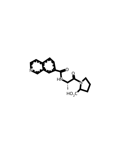 C[C@H](NC(=O)c1ccc2ccncc2c1)C(=O)N1CCCC1C(=O)O